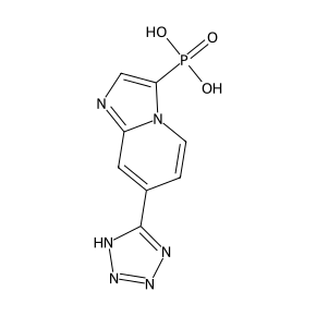 O=P(O)(O)c1cnc2cc(-c3nnn[nH]3)ccn12